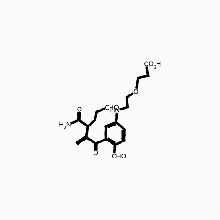 C=C(C(=O)c1cc(NCCOCCC(=O)O)ccc1C=O)C(CCC=O)C(N)=O